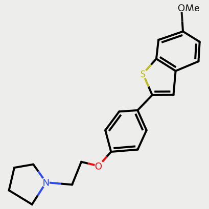 COc1ccc2cc(-c3ccc(OCCN4CCCC4)cc3)sc2c1